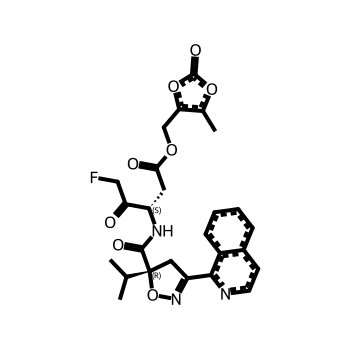 Cc1oc(=O)oc1COC(=O)C[C@H](NC(=O)[C@]1(C(C)C)CC(c2nccc3ccccc23)=NO1)C(=O)CF